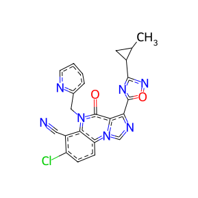 CC1CC1c1noc(-c2ncn3c2c(=O)n(Cc2ccccn2)c2c(C#N)c(Cl)ccc23)n1